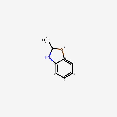 CC1Nc2ccccc2S1